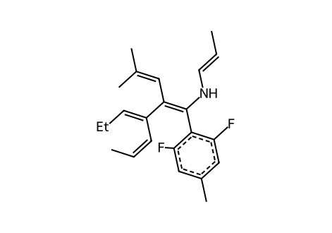 C\C=C/C(=C\CC)C(/C=C(C)C)=C(/N/C=C/C)c1c(F)cc(C)cc1F